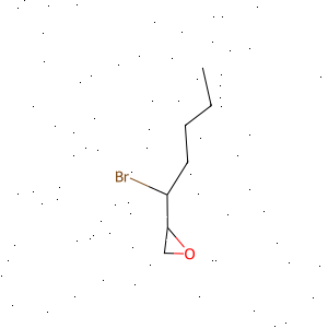 CCCCC(Br)C1CO1